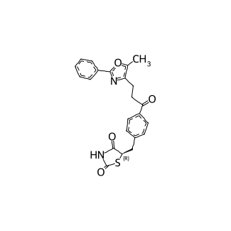 Cc1oc(-c2ccccc2)nc1CCC(=O)c1ccc(C[C@H]2SC(=O)NC2=O)cc1